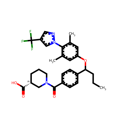 CCCC(Oc1cc(C)c(-n2cc(C(F)(F)F)cn2)c(C)c1)c1ccc(C(=O)N2CCC[C@@H](C(=O)O)C2)cc1